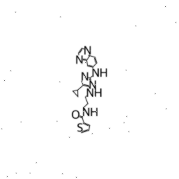 O=C(NCCCNc1nc(Nc2ccc3nccnc3c2)ncc1C1CC1)c1cccs1